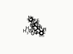 CC(=O)N(N)C(=O)c1c(-c2c(F)cccc2Cl)noc1-c1cnn(-c2ccncc2)c1C(F)(F)F